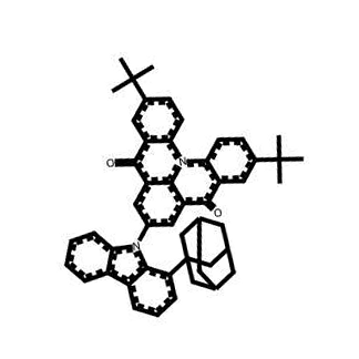 CC(C)(C)c1ccc2c(c1)c(=O)c1cc(-n3c4ccccc4c4cccc(C56CC7CC(CC(C7)C5)C6)c43)cc3c(=O)c4cc(C(C)(C)C)ccc4n2c13